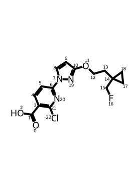 O=C(O)c1ccc(-n2ccc(OCCC3(CF)CC3)n2)nc1Cl